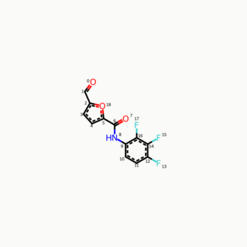 O=Cc1ccc(C(=O)Nc2ccc(F)c(F)c2F)o1